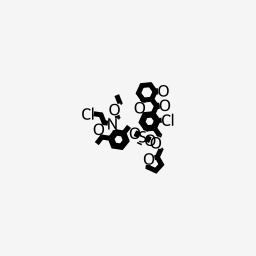 CCOCN(C(=O)CCl)c1c(C)cccc1CC.CS(=O)(=O)c1ccc(C(=O)C2C(=O)CCCC2=O)c(Cl)c1COCC1CCCO1